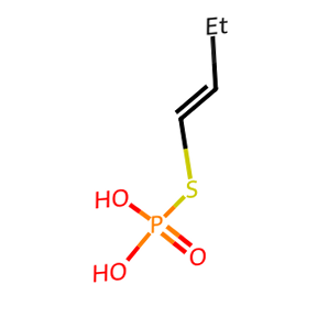 CCC=CSP(=O)(O)O